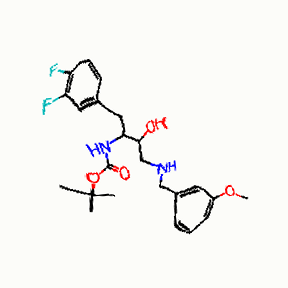 COc1cccc(CNCC(O)C(Cc2ccc(F)c(F)c2)NC(=O)OC(C)(C)C)c1